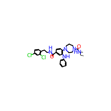 CCNC(=O)N1CCCN(c2ccc(C(=O)NCCc3ccc(Cl)cc3Cl)cc2Nc2ccccc2)CC1